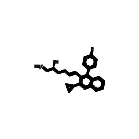 O=C(O)C[C@H](O)CC/C=C/c1c(C2CC2)nc2ccccc2c1-c1ccc(F)cc1